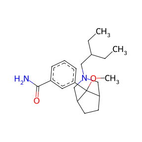 CCC(CC)CN1CC2CCC(C1)C2(OC)c1cccc(C(N)=O)c1